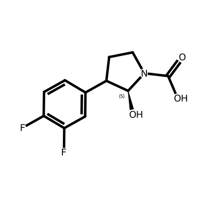 O=C(O)N1CCC(c2ccc(F)c(F)c2)[C@@H]1O